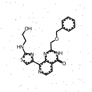 O=c1[nH]c(COCc2ccccc2)nc2c(-c3csc(NCCO)n3)nccc12